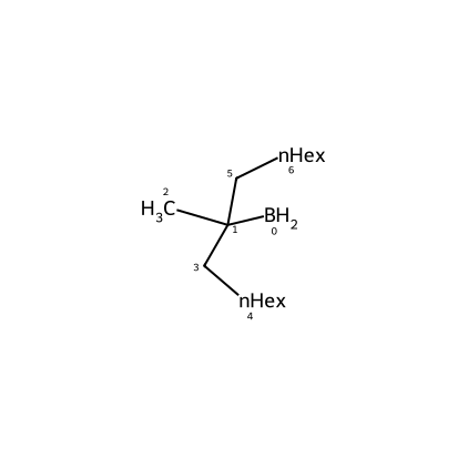 BC(C)(CCCCCCC)CCCCCCC